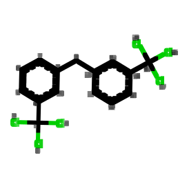 ClC(Cl)(Cl)c1cccc(Cc2cccc(C(Cl)(Cl)Cl)c2)c1